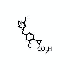 O=C(O)[C@H]1C[C@@H]1c1ccc(Cn2cnc(F)c2)cc1Cl